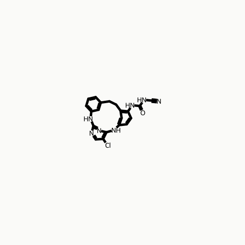 N#CNC(=O)Nc1ccc2cc1CCc1cccc(c1)Nc1ncc(Cl)c(n1)N2